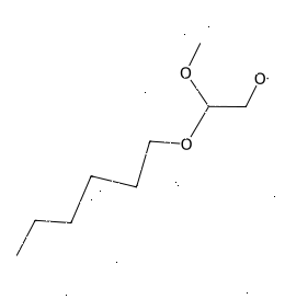 CCCCCCOC(C[O])OC